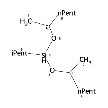 CCCCCC(C)O[SiH](OC(C)CCCCC)C(C)CCC